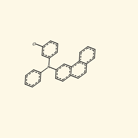 Clc1cccc(N(c2ccccc2)c2ccc3ccc4ccccc4c3c2)c1